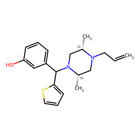 C=CCN1C[C@H](C)N(C(c2cccc(O)c2)c2cccs2)C[C@@H]1C